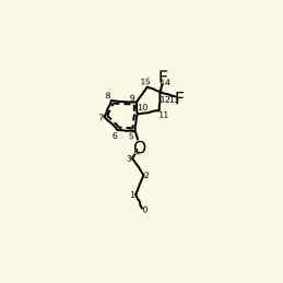 CCCCOc1cccc2c1CC(F)(F)C2